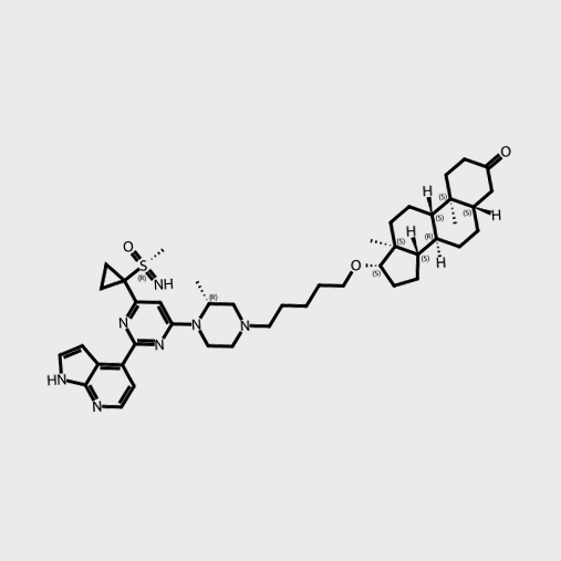 C[C@@H]1CN(CCCCCO[C@H]2CC[C@H]3[C@@H]4CC[C@H]5CC(=O)CC[C@]5(C)[C@H]4CC[C@]23C)CCN1c1cc(C2([S@](C)(=N)=O)CC2)nc(-c2ccnc3[nH]ccc23)n1